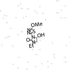 CCN1CC(O)N(c2nnc(OC)s2)C1=O